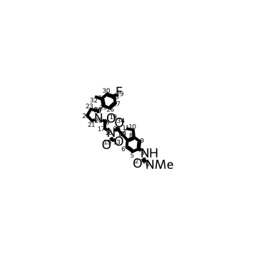 CNC(=O)Nc1ccc2c(c1)CC[C@@]21OC(=O)N(CC(=O)N2CCC[C@@H]2c2ccc(F)cc2C)C1=O